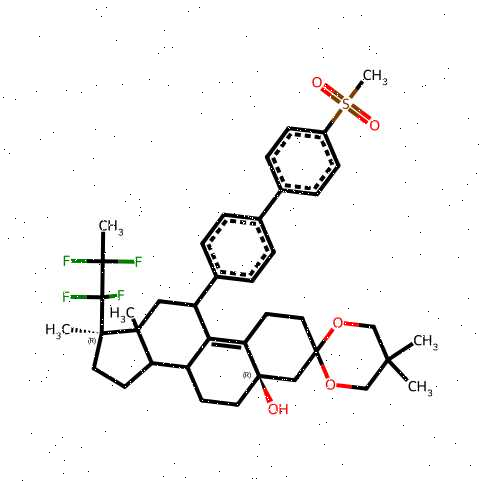 CC1(C)COC2(CCC3=C4C(c5ccc(-c6ccc(S(C)(=O)=O)cc6)cc5)CC5(C)C(CC[C@@]5(C)C(F)(F)C(C)(F)F)C4CC[C@@]3(O)C2)OC1